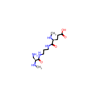 CN[C@@H](CN)C(=O)NCCCNC(=O)[C@H](CCC(=O)O)NC